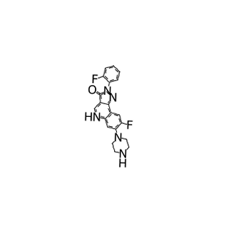 O=c1c2c[nH]c3cc(N4CCNCC4)c(F)cc3c-2nn1-c1ccccc1F